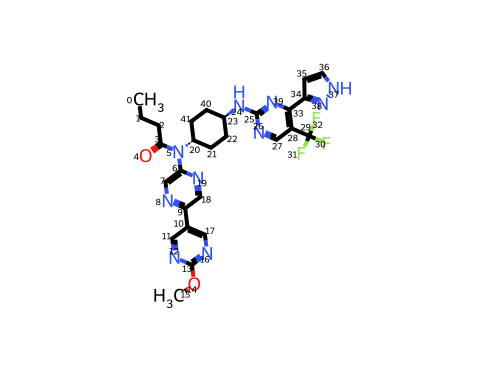 CCCC(=O)N(c1cnc(-c2cnc(OC)nc2)cn1)[C@H]1CC[C@H](Nc2ncc(C(F)(F)F)c(-c3cc[nH]n3)n2)CC1